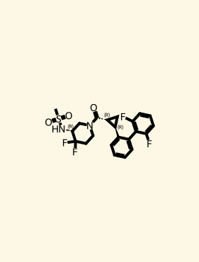 CS(=O)(=O)N[C@@H]1CN(C(=O)[C@@H]2C[C@H]2c2ccccc2-c2c(F)cccc2F)CCC1(F)F